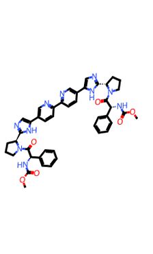 COC(=O)N[C@@H](C(=O)N1CCC[C@H]1c1ncc(-c2ccc(-c3ccc(-c4cnc([C@@H]5CCCN5C(=O)[C@H](NC(=O)OC)c5ccccc5)[nH]4)cn3)nc2)[nH]1)c1ccccc1